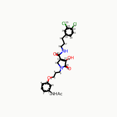 CC(=O)Nc1cccc(OCCCN2CC(C(=O)NCCCc3ccc(Cl)c(Cl)c3)=C(O)C2=O)c1